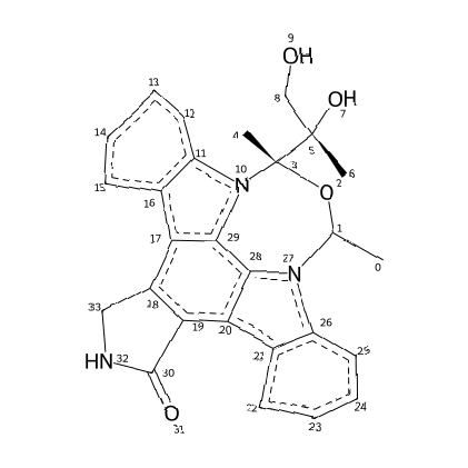 CC1O[C@@](C)([C@@](C)(O)CO)n2c3ccccc3c3c4c(c5c6ccccc6n1c5c32)C(=O)NC4